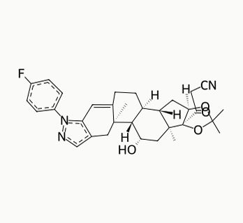 CC1(C)O[C@@H]2C[C@H]3[C@@H]4CCC5=Cc6c(cnn6-c6ccc(F)cc6)C[C@]5(C)[C@H]4[C@@H](O)C[C@]3(C)[C@]2(C(=O)CC#N)O1